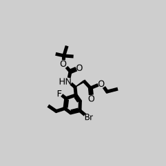 CCOC(=O)C[C@H](NC(=O)OC(C)(C)C)c1cc(Br)cc(CC)c1F